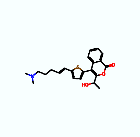 CC(O)c1oc(=O)c2ccccc2c1-c1ccc(/C=C/CCCN(C)C)s1